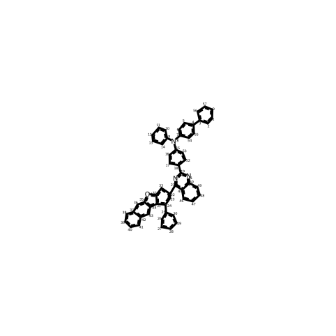 c1ccc(-c2ccc(N(c3ccccc3)c3ccc(-c4nc(-c5cc(-c6ccccc6)c6c(c5)oc5cc7ccccc7cc56)c5ccccc5n4)cc3)cc2)cc1